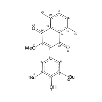 COC1=C(c2cc(C(C)(C)C)c(O)c(C(C)(C)C)c2)C(=O)c2c(C)ccc(C)c2C1=O